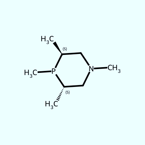 C[C@H]1CN(C)C[C@H](C)P1C